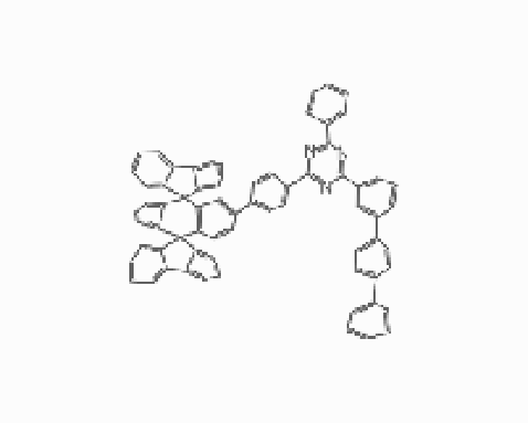 c1ccc(-c2ccc(-c3cccc(-c4nc(-c5ccccc5)nc(-c5ccc(-c6ccc7c(c6)C6(c8ccccc8-c8ccccc86)c6ccccc6C76c7ccccc7-c7ccccc76)cc5)n4)c3)cc2)cc1